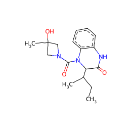 CCC(C)C1C(=O)Nc2ccccc2N1C(=O)N1CC(C)(O)C1